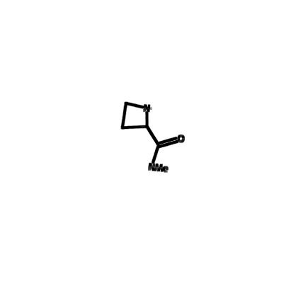 CNC(=O)C1CC[N]1